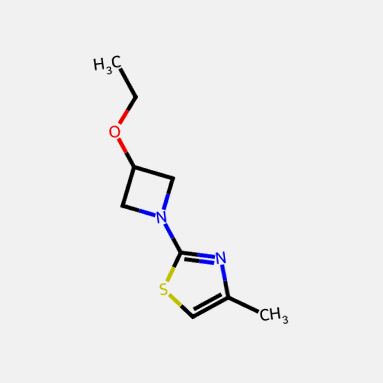 CCOC1CN(c2nc(C)cs2)C1